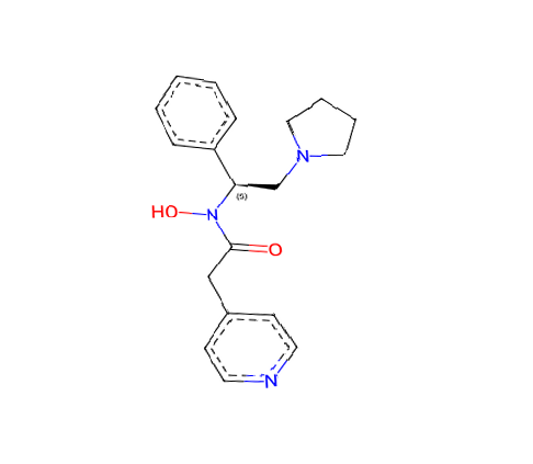 O=C(Cc1ccncc1)N(O)[C@H](CN1CCCC1)c1ccccc1